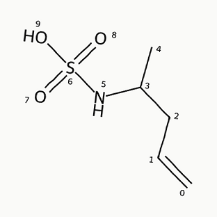 C=CCC(C)NS(=O)(=O)O